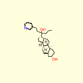 CCC[C@@](O)(CCc1cccnc1)[C@H]1CC[C@H]2[C@@H]3CC=C4C[C@@H](O)CC[C@]4(C)[C@H]3CC[C@]12C